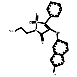 COCCN1C(=O)C(Nc2ccc3oc(C(C)=O)cc3c2)=C(c2ccccc2)S1(=O)=O